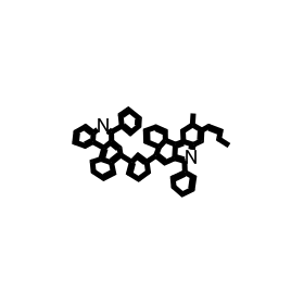 CC/C=C\C1=Cc2nc(C3=CCCC=C3)c3c(c2CC1C)C1C=CC=CC1C(C1=CC(c2cc4c(-c5ccccc5)nc5ccccc5c4c4c2C=CCC4)=CCC1)=C3